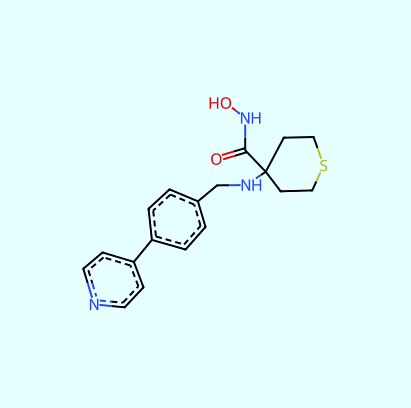 O=C(NO)C1(NCc2ccc(-c3ccncc3)cc2)CCSCC1